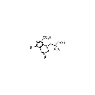 N[C@@H](CO)CN1C[C@@H](F)Cc2c(Br)sc(C(=O)O)c21